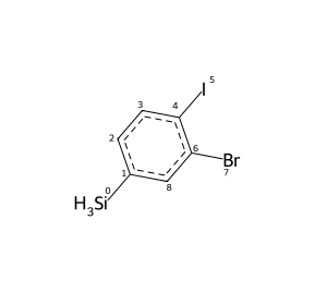 [SiH3]c1ccc(I)c(Br)c1